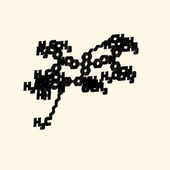 CCCCCCCCCCn1c2cc(NC(=O)NC)ccc2c2ccc(-c3ccc(NC(=O)NC)c(-c4ccc5c(-c6ccc7cc(N(c8ccc(C(C)(C)C)cc8)c8ccc(C(C)(C)C)cc8)ccc7c6)c6cc(CCCCCCCC)ccc6c(-c6ccc7cc(N(c8ccc(C(C)(C)C)cc8)c8ccc(C(C)(C)C)cc8)ccc7c6)c5c4)c3)cc21